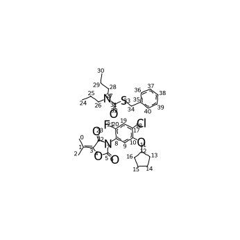 CC(C)=C1OC(=O)N(c2cc(OC3CCCC3)c(Cl)cc2F)C1=O.CCCN(CCC)C(=O)SCc1ccccc1